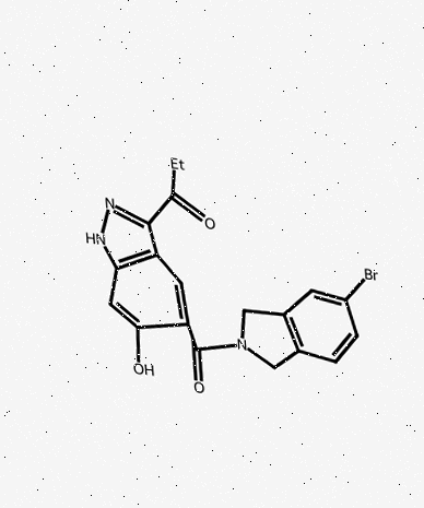 CCC(=O)c1n[nH]c2cc(O)c(C(=O)N3Cc4ccc(Br)cc4C3)cc12